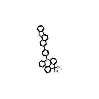 CC1(C)c2ccccc2-c2c(N(c3ccccc3)c3ccc(-c4ccc5c(ccc6c7ccccc7oc56)c4)cc3)cccc21